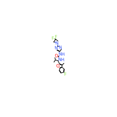 Cc1c([C@@H](NC(=O)Nc2cnc(N3CC(F)(F)C3)nc2)C(C)C)oc2ccc(F)cc12